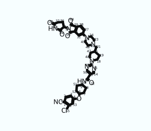 N#Cc1ccc(OC2CCC(NC(=O)c3cnc(N4CCC(CN5CCN(c6ccc7c(c6)C(=O)N(C6CCC(=O)NC6=O)C7=O)CC5)CC4)nc3)CC2)cc1Cl